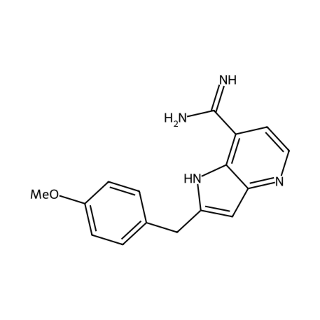 COc1ccc(Cc2cc3nccc(C(=N)N)c3[nH]2)cc1